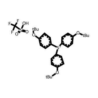 CC(C)(C)Oc1ccc([S+](c2ccc(OC(C)(C)C)cc2)c2ccc(OC(C)(C)C)cc2)cc1.O=S(=O)(O)C(F)(F)F